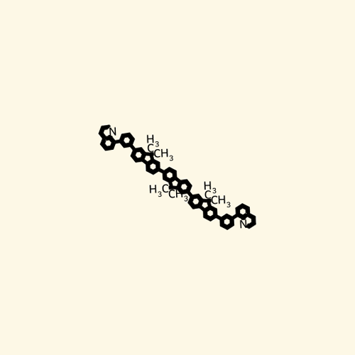 CC1(C)c2cc(-c3cccc(-c4cccc5cccnc45)c3)ccc2-c2ccc(-c3ccc4c(c3)C(C)(C)c3cc(-c5ccc6c(c5)C(C)(C)c5cc(-c7cccc(-c8cccc9cccnc89)c7)ccc5-6)ccc3-4)cc21